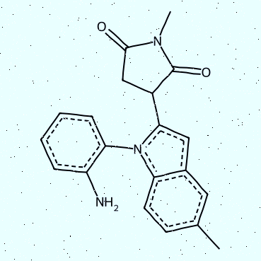 Cc1ccc2c(c1)cc(C1CC(=O)N(C)C1=O)n2-c1ccccc1N